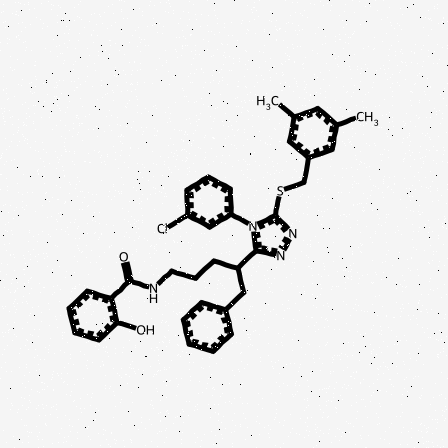 Cc1cc(C)cc(CSc2nnc(C(CCCNC(=O)c3ccccc3O)Cc3ccccc3)n2-c2cccc(Cl)c2)c1